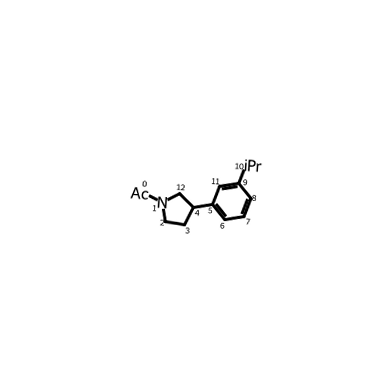 CC(=O)N1CCC(c2cccc(C(C)C)c2)C1